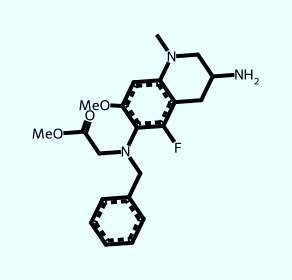 COC(=O)CN(Cc1ccccc1)c1c(OC)cc2c(c1F)CC(N)CN2C